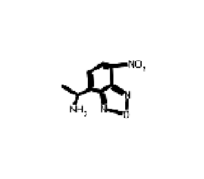 [CH2]C(N)c1ccc([N+](=O)[O-])c2nonc12